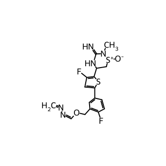 C=N/N=C\OCc1cc(-c2cc(F)c(C3C[S+]([O-])N(C)C(=N)N3)s2)ccc1F